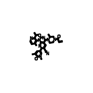 C=CC(=O)N1CCN(c2nc(=O)n(-c3c(C)ccnc3C(C)C)c3nc(-c4cc(C)c(=O)n(C)c4)c(C#N)cc23)C(C)C1